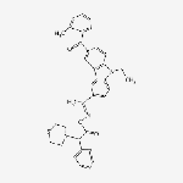 CCn1c2ccc(C(=O)c3ccccc3C)cc2c2cc(/C(C)=N/OC(=O)C(c3ccccc3)N3CCSCC3)ccc21